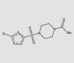 CC(C)(C)C(=O)N1CCN(S(=O)(=O)c2ccc(Cl)s2)CC1